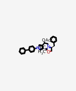 CC(=O)OC(CN1[C@@H](Cc2ccccc2)COC1(C)C)c1ccn(-c2ccc(-c3ccccc3)cc2)c1